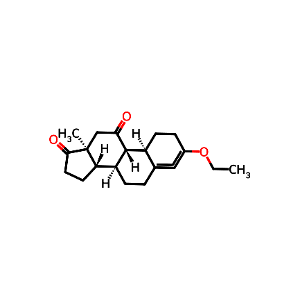 CCOC1=C=C2CC[C@@H]3[C@H](C(=O)C[C@]4(C)C(=O)CC[C@@H]34)[C@H]2CC1